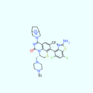 CCN1CCN(C[C@H]2CSc3c(-c4c(F)cc(F)c5sc(N)nc45)c(C(F)(F)F)cc4c(N5CC6CCC(C5)N6)nc(=O)n2c34)CC1